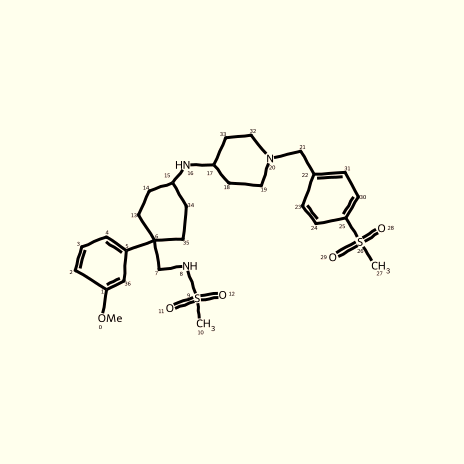 COc1cccc(C2(CNS(C)(=O)=O)CCC(NC3CCN(Cc4ccc(S(C)(=O)=O)cc4)CC3)CC2)c1